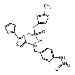 Cc1nc(CS(=O)(=O)N[C@@H](Cc2ccc(N[SH](=O)=O)cc2)c2csc(-c3cccs3)n2)cs1